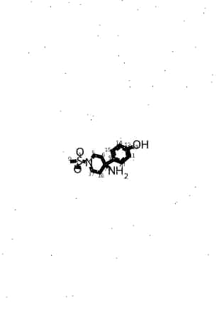 CS(=O)(=O)N1CCC(N)(c2ccc(O)cc2)CC1